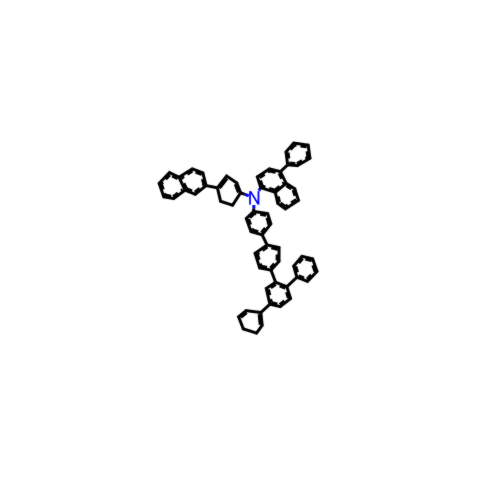 C1=CC(c2ccc(-c3ccccc3)c(-c3ccc(-c4ccc(N(C5=CC=C(c6ccc7ccccc7c6)CC5)c5ccc(-c6ccccc6)c6ccccc56)cc4)cc3)c2)=CCC1